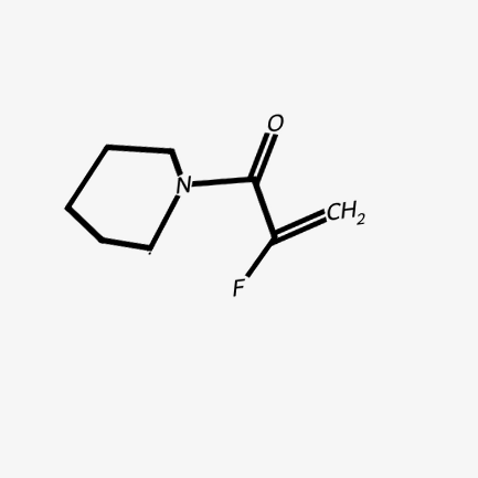 C=C(F)C(=O)N1[CH]CCCC1